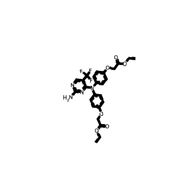 CCOC(=O)COc1ccc(N(c2ccc(OCC(=O)OCC)cc2)c2nc(N)ncc2C(F)(F)F)cc1